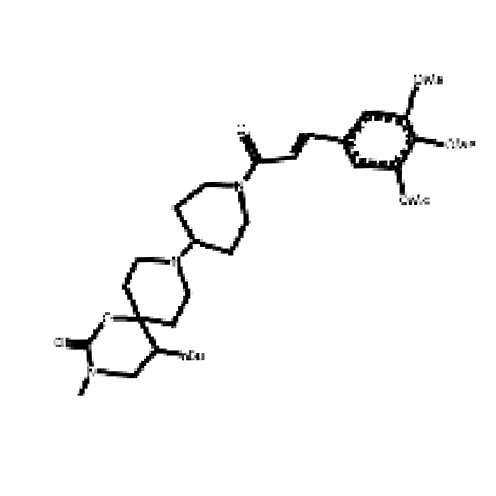 CCCCC1CN(C)C(=O)OC12CCN(C1CCN(C(=O)/C=C/c3cc(OC)c(OC)c(OC)c3)CC1)CC2